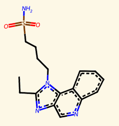 CCc1nc2cnc3ccccc3c2n1CCCCS(N)(=O)=O